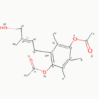 CC(=O)Oc1c(C)c(C)c(OC(C)=O)c(C/C=C(\C)CO)c1C